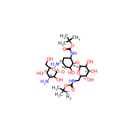 CC(C)(C)OC(=O)NCC1O[C@H](O[C@@H]2C(NC(=O)OC(C)(C)C)C[C@@H](N)[C@@H](O[C@H]3OC(CO)[C@@H](O)[C@@H](N)C3O)C2O)C(O)[C@@H](O)[C@@H]1O